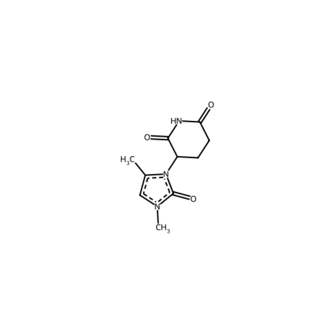 Cc1cn(C)c(=O)n1C1CCC(=O)NC1=O